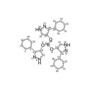 c1ccc(-c2n[nH]cc2OB(Oc2c[nH]nc2-c2ccccc2)Oc2c[nH]nc2-c2ccccc2)cc1